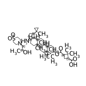 C[C@@H](O)[C@@H](CN[C@]12CC[C@@H](C3(C)CC3)[C@@H]1[C@H]1CC[C@@H]3[C@@]4(C)CC[C@H](OC(=O)[C@@H]5C[C@H](C(=O)O)C5(C)C)C(C)(C)[C@@H]4CC[C@@]3(C)[C@]1(C)CC2)N1CCS(=O)(=O)CC1